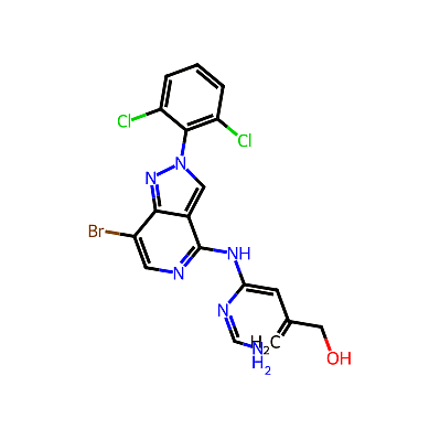 C=C(/C=C(\N=C/N)Nc1ncc(Br)c2nn(-c3c(Cl)cccc3Cl)cc12)CO